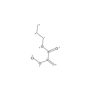 C=C(OCl)C(=O)OCCC